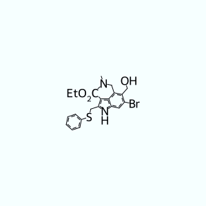 CCOC(=O)c1c(CSc2ccccc2)[nH]c2cc(Br)c(CO)c(CN(C)C)c12